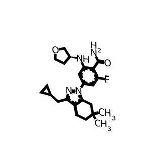 CC1(C)CCc2c(CC3CC3)nn(-c3cc(F)c(C(N)=O)c(N[C@H]4CCOC4)c3)c2C1